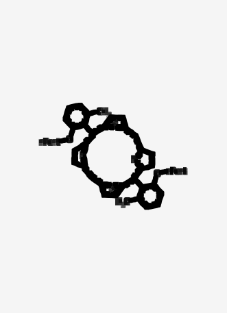 CCCCCOc1cccc(C)c1-c1c2nc(cc3ccc([nH]3)c(-c3c(C)cccc3OCCCCC)c3nc(cc4ccc1[nH]4)C=C3)C=C2